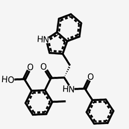 Cc1cccc(C(=O)O)c1C(=O)[C@H](Cc1c[nH]c2ccccc12)NC(=O)c1ccccc1